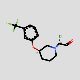 O=C[C@@H](Cl)N1CCC[C@@H](Oc2cccc(C(F)(F)F)c2)C1